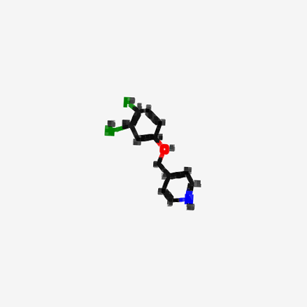 Fc1ccc(OCc2ccncc2)cc1Br